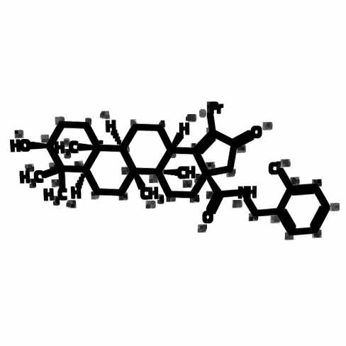 CC(C)C1=C2[C@H]3CC[C@@H]4[C@@]5(C)CC[C@H](O)C(C)(C)[C@@H]5CC[C@@]4(C)[C@]3(C)CC[C@@]2(C(=O)NCc2ccccc2Cl)CC1=O